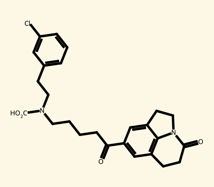 O=C(CCCCN(CCc1cccc(Cl)c1)C(=O)O)c1cc2c3c(c1)CCN3C(=O)CC2